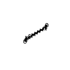 O=C=NCCCCCCCCCCSCN=C=O